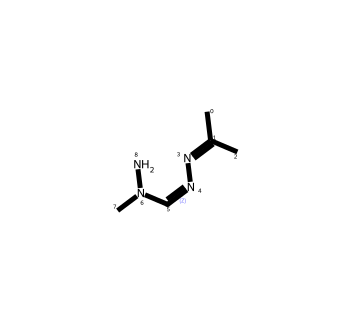 CC(C)=N/N=C\N(C)N